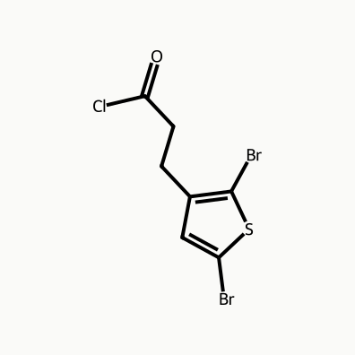 O=C(Cl)CCc1cc(Br)sc1Br